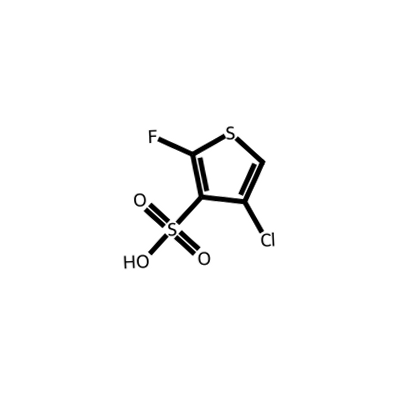 O=S(=O)(O)c1c(Cl)csc1F